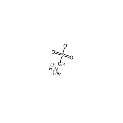 Br.N.O=S(=O)([O-])O.[Li+]